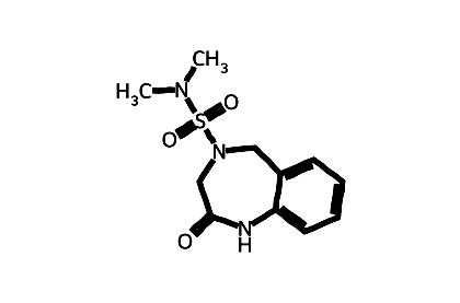 CN(C)S(=O)(=O)N1CC(=O)Nc2ccccc2C1